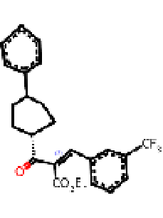 CCOC(=O)/C(=C\c1cccc(C(F)(F)F)c1)C(=O)[C@H]1CC[C@H](c2ccccc2)CC1